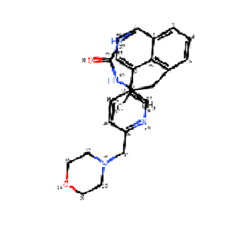 CC1(C)Cc2cccc3c(ccc(-c4ccc(CN5CCOCC5)nc4)c23)NC(=O)N1